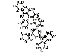 c1ccc(-c2cc(-n3c4ccccc4c4ccccc43)nc(-c3ccc4sc5ccc6c(-c7ccccc7)nc7ccccc7c6c5c4c3)n2)cc1